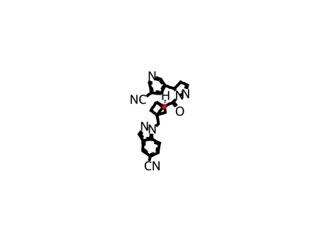 N#Cc1cncc(C2CC=NN2C(=O)[C@H]2CC3(Cn4ncc5cc(C#N)ccc54)CC2C3)c1